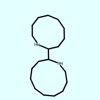 C1CCCCNC(C2CCCCCCCCN2)CCCC1